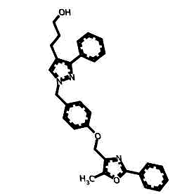 Cc1oc(-c2ccccc2)nc1COc1ccc(Cn2cc(CCCO)c(-c3ccccc3)n2)cc1